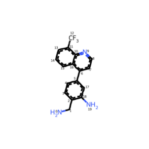 NCc1ccc(-c2[c]cnc3c(C(F)(F)F)cccc23)cc1N